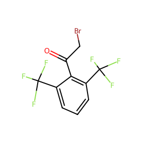 O=C(CBr)c1c(C(F)(F)F)cccc1C(F)(F)F